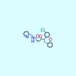 O=C(/C=C\C(=O)C1Cc2ccccc2Oc2ccc(Cl)cc21)NCc1ccccn1